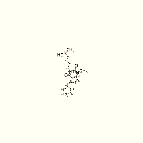 C[C@@H](O)CCCCn1c(=O)c2c(ncn2Cc2ccccc2)n(C)c1=O